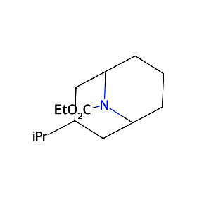 CCOC(=O)N1C2CCCC1CC(C(C)C)C2